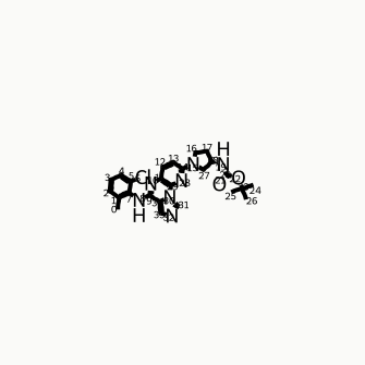 Cc1cccc(Cl)c1Nc1nc2ccc(N3CC[C@H](NC(=O)OC(C)(C)C)C3)nc2n2cncc12